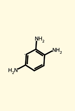 Nc1[c]c(N)c(N)cc1